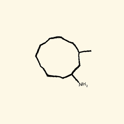 CC1CCCCCCCCC(N)C1